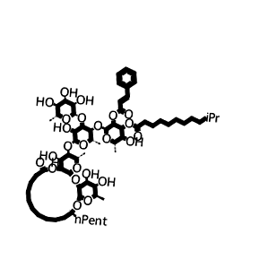 CCCCC[C@H]1CCCCCCCCCC(=O)O[C@@H]2C(OC3C(O1)O[C@H](C)[C@H](O)[C@@H]3O)O[C@@H](C)[C@H](O[C@@H]1O[C@@H](C)[C@H](O[C@@H]3O[C@@H](C)C(O)C(OC(=O)CCCCCCCCC(C)C)C3OC(=O)/C=C/c3ccccc3)C(O[C@@H]3O[C@H](C)[C@@H](O)[C@H](O)[C@@H]3O)C1O)[C@H]2O